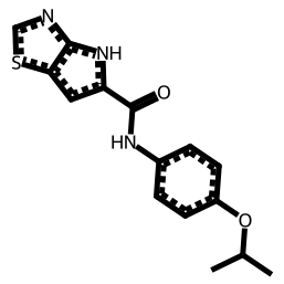 CC(C)Oc1ccc(NC(=O)c2cc3scnc3[nH]2)cc1